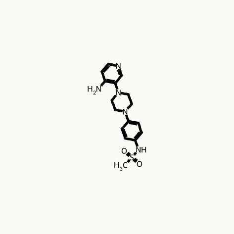 CS(=O)(=O)Nc1ccc(N2CCN(c3cnccc3N)CC2)cc1